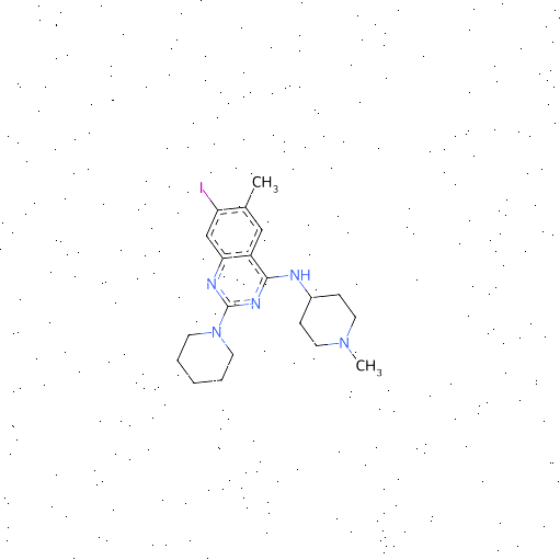 Cc1cc2c(NC3CCN(C)CC3)nc(N3CCCCC3)nc2cc1I